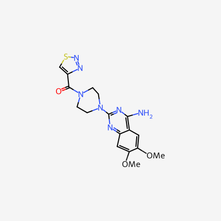 COc1cc2nc(N3CCN(C(=O)c4csnn4)CC3)nc(N)c2cc1OC